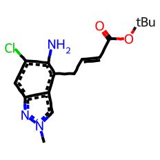 Cn1cc2c(C/C=C/C(=O)OC(C)(C)C)c(N)c(Cl)cc2n1